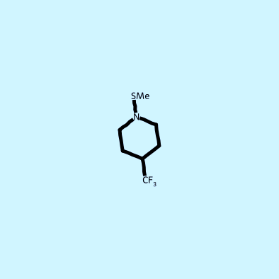 CSN1CCC(C(F)(F)F)CC1